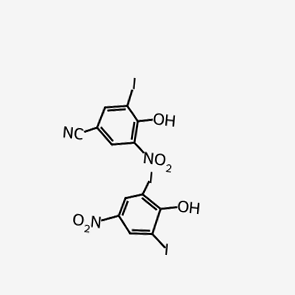 N#Cc1cc(I)c(O)c([N+](=O)[O-])c1.O=[N+]([O-])c1cc(I)c(O)c(I)c1